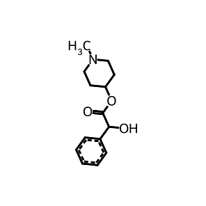 CN1CCC(OC(=O)C(O)c2ccccc2)CC1